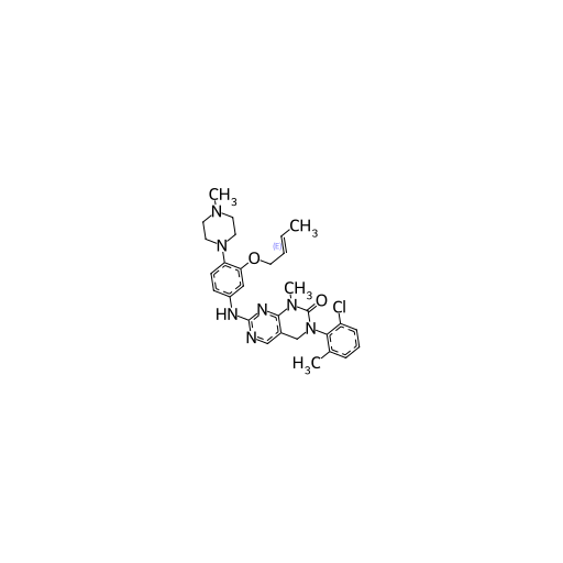 C/C=C/COc1cc(Nc2ncc3c(n2)N(C)C(=O)N(c2c(C)cccc2Cl)C3)ccc1N1CCN(C)CC1